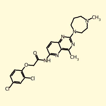 Cc1nc(N2CCCN(C)CC2)nc2ccc(NC(=O)COc3ccc(Cl)cc3Cl)nc12